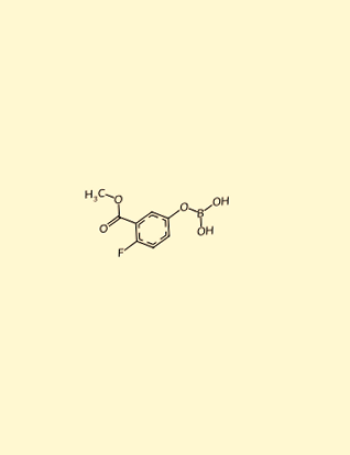 COC(=O)c1cc(OB(O)O)ccc1F